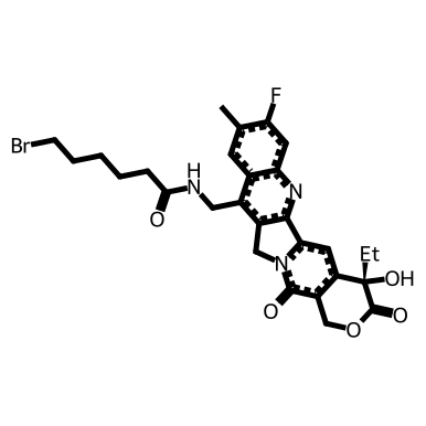 CC[C@@]1(O)C(=O)OCc2c1cc1n(c2=O)Cc2c-1nc1cc(F)c(C)cc1c2CNC(=O)CCCCCBr